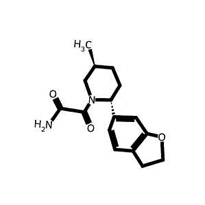 C[C@H]1CC[C@H](c2ccc3c(c2)OCC3)N(C(=O)C(N)=O)C1